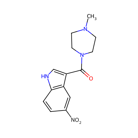 CN1CCN(C(=O)c2c[nH]c3ccc([N+](=O)[O-])cc23)CC1